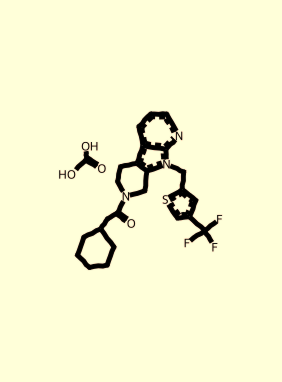 O=C(CC1CCCCC1)N1CCc2c(n(Cc3cc(C(F)(F)F)cs3)c3ncccc23)C1.O=C(O)O